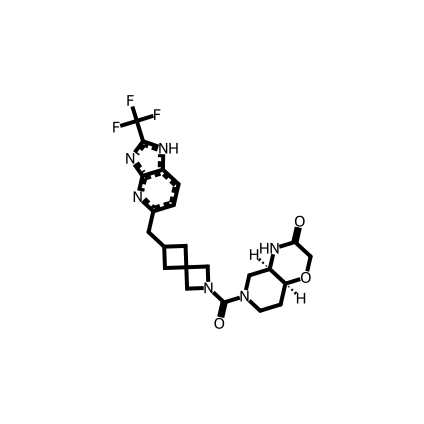 O=C1CO[C@H]2CCN(C(=O)N3CC4(CC(Cc5ccc6[nH]c(C(F)(F)F)nc6n5)C4)C3)C[C@H]2N1